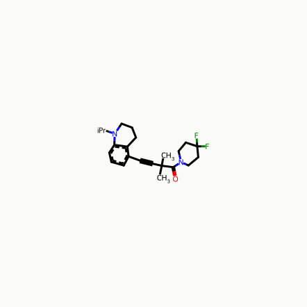 CC(C)N1CCCc2c(C#CC(C)(C)C(=O)N3CCC(F)(F)CC3)cccc21